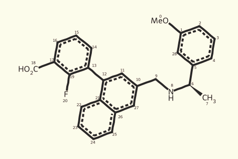 COc1cccc([C@@H](C)NCc2cc(-c3cccc(C(=O)O)c3F)c3ccccc3c2)c1